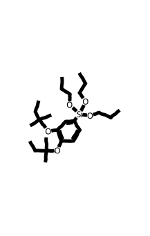 CCCO[Si](OCCC)(OCCC)c1ccc(OC(C)(C)CC)c(OC(C)(C)CC)c1